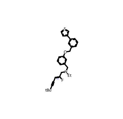 CCN(C/C(F)=C/C#CC(C)(C)C)Cc1cccc(OCc2cccc(-c3ccsc3)c2)c1